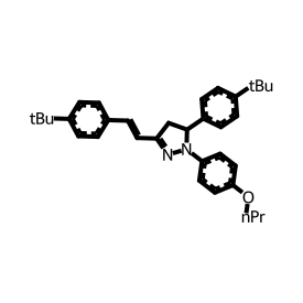 CCCOc1ccc(N2N=C(C=Cc3ccc(C(C)(C)C)cc3)CC2c2ccc(C(C)(C)C)cc2)cc1